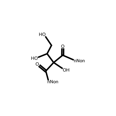 CCCCCCCCCC(=O)C(O)(C(=O)CCCCCCCCC)C(O)CO